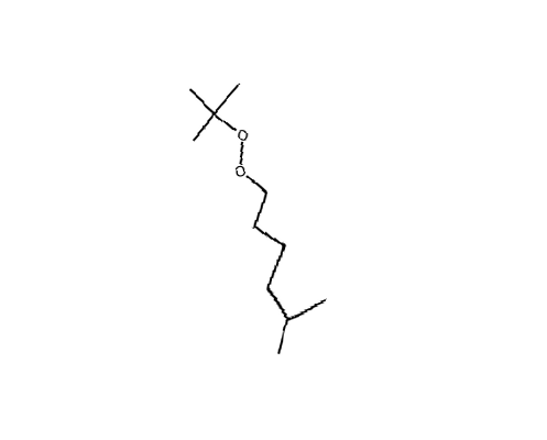 CC(C)CCCCOOC(C)(C)C